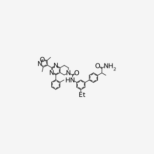 CCc1cc(NC(=O)N2CCc3nc(-c4c(C)noc4C)nc(-c4ccccc4C)c3C2)cc(-c2ccc(C(C)C(N)=O)cc2)c1